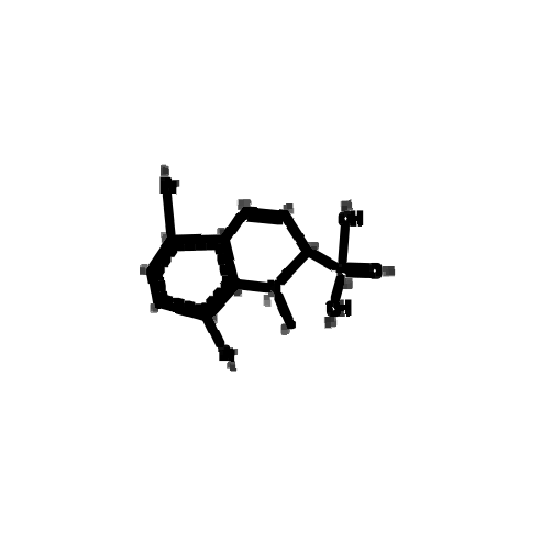 CN1c2c(Br)ccc(Br)c2C=CC1P(=O)(O)O